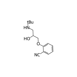 CC(C)(C)NCC(O)COc1ccccc1C#N